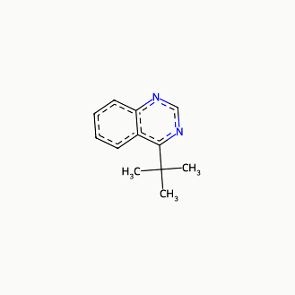 CC(C)(C)c1ncnc2ccccc12